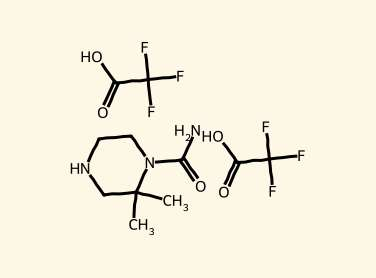 CC1(C)CNCCN1C(N)=O.O=C(O)C(F)(F)F.O=C(O)C(F)(F)F